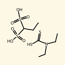 CCC(S(=O)(=O)O)S(=O)(=O)O.CCN(CC)C(=S)S